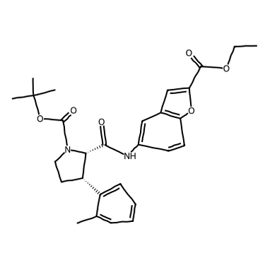 CCOC(=O)c1cc2cc(NC(=O)[C@@H]3[C@H](c4ccccc4C)CCN3C(=O)OC(C)(C)C)ccc2o1